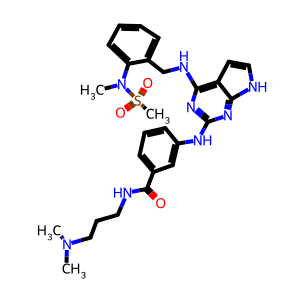 CN(C)CCCNC(=O)c1cccc(Nc2nc(NCc3ccccc3N(C)S(C)(=O)=O)c3cc[nH]c3n2)c1